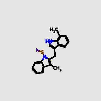 Cc1c(Cc2c[nH]c3c(C)cccc23)n(SI)c2ccccc12